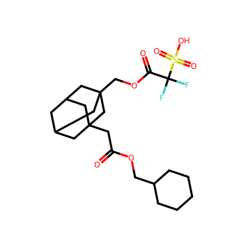 O=C(CC12CC3CC(CC(COC(=O)C(F)(F)S(=O)(=O)O)(C3)C1)C2)OCC1CCCCC1